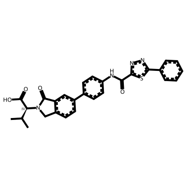 CC(C)[C@@H](C(=O)O)N1Cc2ccc(-c3ccc(NC(=O)c4nnc(-c5ccccc5)s4)cc3)cc2C1=O